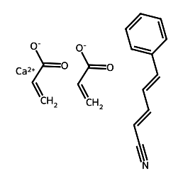 C=CC(=O)[O-].C=CC(=O)[O-].N#CC=CC=Cc1ccccc1.[Ca+2]